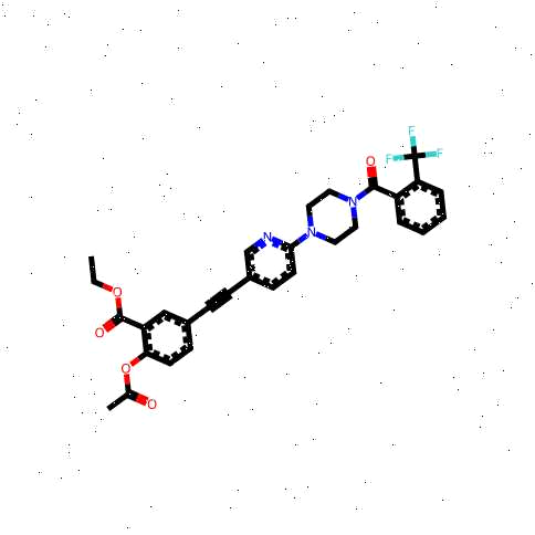 CCOC(=O)c1cc(C#Cc2ccc(N3CCN(C(=O)c4ccccc4C(F)(F)F)CC3)nc2)ccc1OC(C)=O